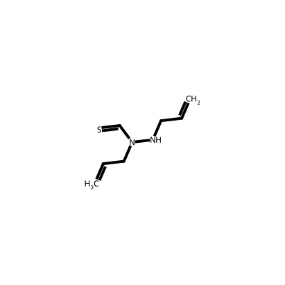 C=CCNN(C=S)CC=C